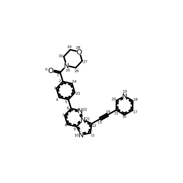 O=C(c1ccc(-c2ccc3ncc(C#Cc4cccnc4)n3n2)cc1)N1CCOCC1